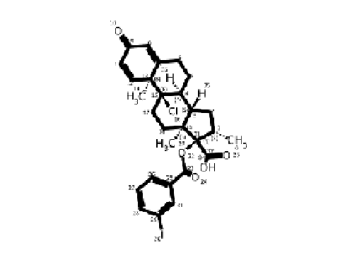 C[C@H]1C[C@H]2[C@@H]3CCC4=CC(=O)C=C[C@]4(C)[C@@]3(Cl)CC[C@]2(C)[C@@]1(OC(=O)c1cccc(I)c1)C(=O)O